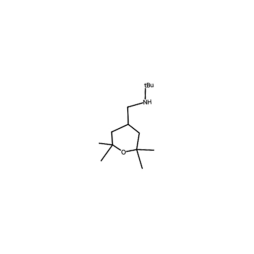 CC(C)(C)NCC1CC(C)(C)OC(C)(C)C1